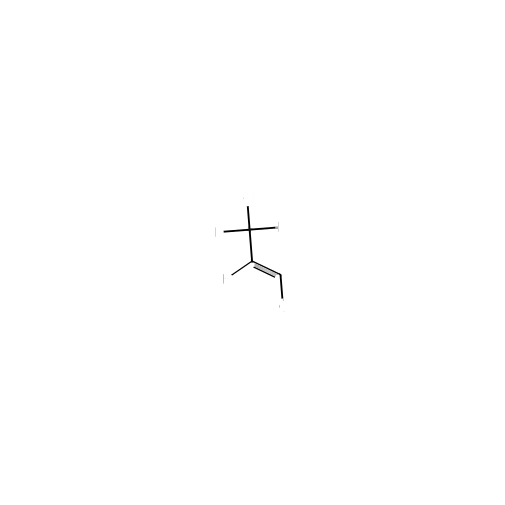 CC(F)(F)/C(F)=C/Cl